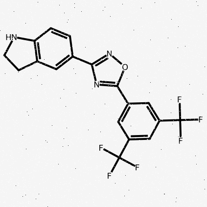 FC(F)(F)c1cc(-c2nc(-c3ccc4c(c3)CCN4)no2)cc(C(F)(F)F)c1